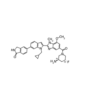 COc1cc(C(=O)N2C[C@H](N)C[C@@H](F)C2)cc2nc(-c3cc4ccc(-c5ccc6c(c5)CNC6=O)cc4n3CC3CC3)n(C)c12